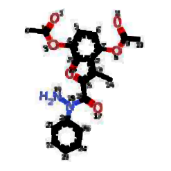 CC(=O)Oc1ccc(OC(C)=O)c2c(C)c(C(=O)N(N)c3ccccc3)oc12